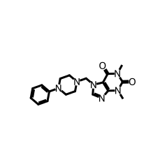 Cn1c(=O)c2c(ncn2CN2CCN(c3ccccc3)CC2)n(C)c1=O